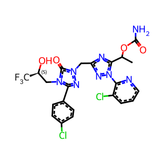 CC(OC(N)=O)c1nc(Cn2nc(-c3ccc(Cl)cc3)n(C[C@H](O)C(F)(F)F)c2=O)nn1-c1ncccc1Cl